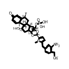 Cn1c(Cc2ccc(CO)c(N)c2)ccc1[C@@H]1O[C@@H]2C[C@H]3[C@@H]4C[C@H](F)C5=CC(=O)C=C[C@]5(C)[C@@]4(F)[C@@H](O)C[C@]3(C)[C@]2(C(=O)COP(=O)(O)O)O1